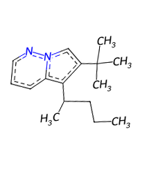 CCCC(C)c1c(C(C)(C)C)cn2ncccc12